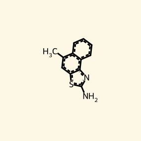 Cc1cc2sc(N)nc2c2ccccc12